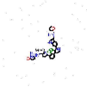 COc1nc(-c2cccc(-c3ccnc(-c4ccc5c(CNC[C@@H]6CCCO6)cn(C)c5c4)c3Cl)c2Cl)ccc1CNC[C@@H]1CCC(=O)N1